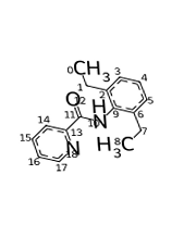 CCc1cccc(CC)c1NC(=O)c1ccccn1